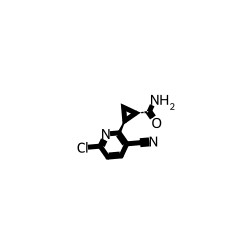 N#Cc1ccc(Cl)nc1[C@H]1C[C@@H]1C(N)=O